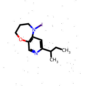 CCC(C)c1cc2c(cn1)OCCCN2I